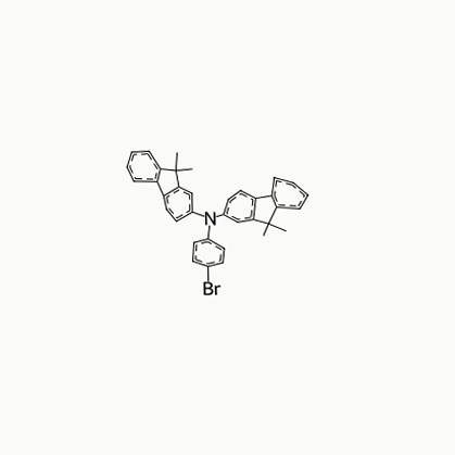 CC1(C)c2ccccc2-c2ccc(N(c3ccc(Br)cc3)c3ccc4c(c3)C(C)(C)c3ccccc3-4)cc21